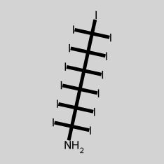 NC(I)(I)C(I)(I)C(I)(I)C(I)(I)C(I)(I)C(I)(I)I